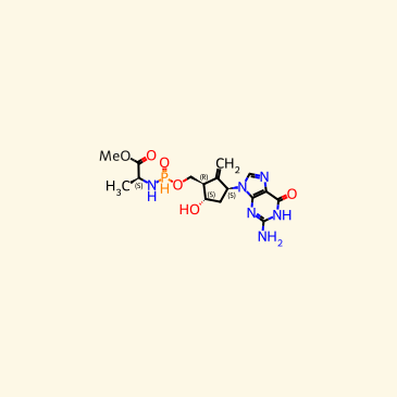 C=C1[C@H](CO[PH](=O)N[C@@H](C)C(=O)OC)[C@@H](O)C[C@@H]1n1cnc2c(=O)[nH]c(N)nc21